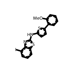 COc1ccccc1-c1ccc(Nc2nc3c(I)cccc3s2)s1